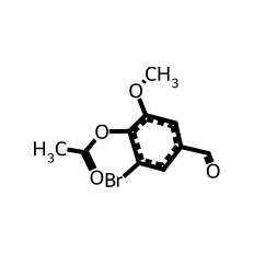 COc1cc(C=O)cc(Br)c1OC(C)=O